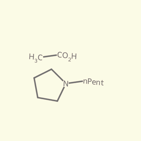 CC(=O)O.CCCCCN1CCCC1